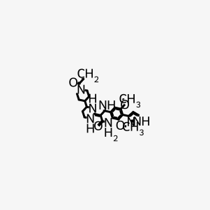 C=CC(=O)N1CCC(C2CCN/C(=C(/C(=N)c3cc(OC)c(-c4cc[nH]n4)c(OC)c3)C(N)=O)N2)CC1